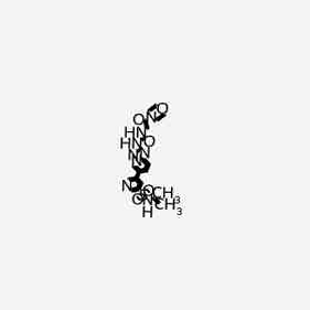 CC(C)NS(=O)(=O)c1cncc(-c2ccc3nc(NC(=O)NCC(=O)N4CCOCC4)nn3c2)c1